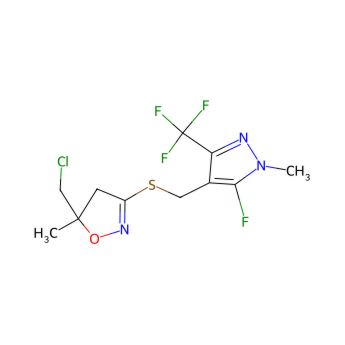 Cn1nc(C(F)(F)F)c(CSC2=NOC(C)(CCl)C2)c1F